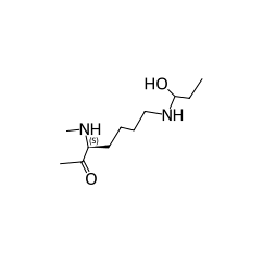 CCC(O)NCCCC[C@H](NC)C(C)=O